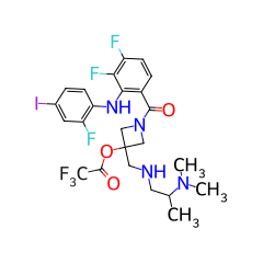 CC(CNCC1(OC(=O)C(F)(F)F)CN(C(=O)c2ccc(F)c(F)c2Nc2ccc(I)cc2F)C1)N(C)C